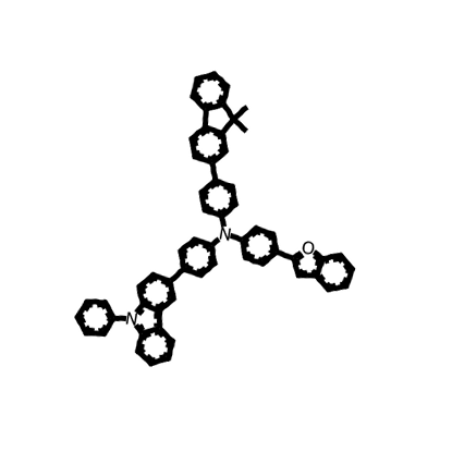 CC1(C)c2ccccc2-c2ccc(-c3ccc(N(c4ccc(-c5ccc6c(c5)c5ccccc5n6-c5ccccc5)cc4)c4ccc(-c5cc6ccccc6o5)cc4)cc3)cc21